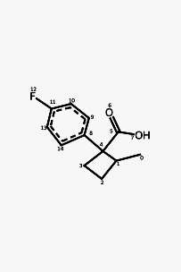 CC1CCC1(C(=O)O)c1ccc(F)cc1